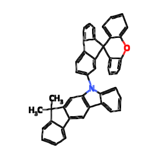 CC1(C)c2ccccc2-c2cc3c4ccccc4n(-c4ccc5c(c4)C4(c6ccccc6Oc6ccccc64)c4ccccc4-5)c3cc21